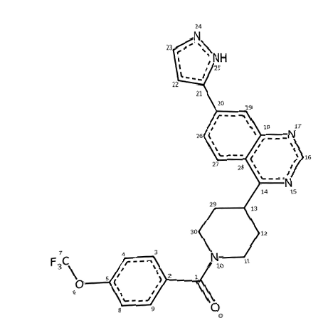 O=C(c1ccc(OC(F)(F)F)cc1)N1CCC(c2ncnc3cc(-c4ccn[nH]4)ccc23)CC1